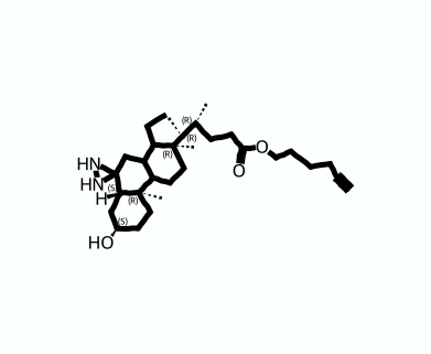 C#CCCCCOC(=O)CC[C@@H](C)[C@H]1CCC2C3CC4(NN4)[C@H]4C[C@@H](O)CC[C@]4(C)C3CC[C@@]21C